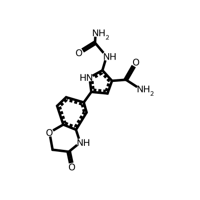 NC(=O)Nc1[nH]c(-c2ccc3c(c2)NC(=O)CO3)cc1C(N)=O